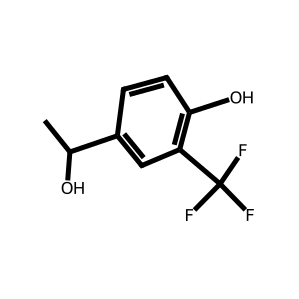 CC(O)c1ccc(O)c(C(F)(F)F)c1